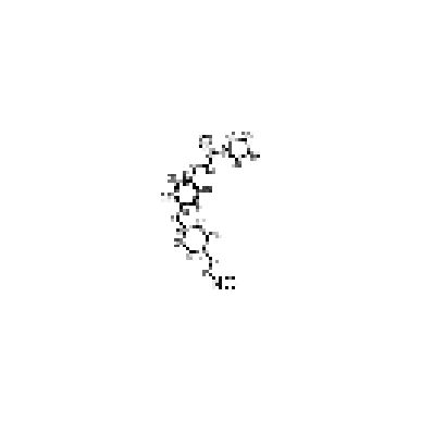 O=NCCC1CCC(Cc2ccc(CCC(=O)N3CCCC3)cc2)CC1